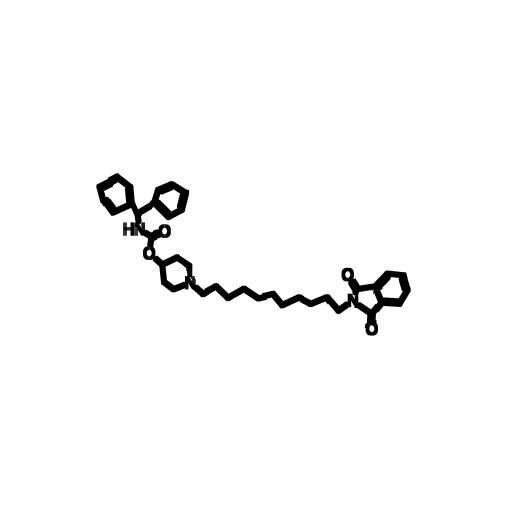 O=C(NC(c1ccccc1)c1ccccc1)OC1CCN(CCCCCCCCCCCN2C(=O)c3ccccc3C2=O)CC1